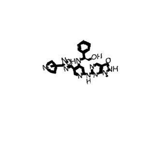 Cn1[nH]c(=O)c2cnc(Nc3cc(N[C@H](CO)c4ccccc4)c(-c4nc(C56CCN(CC5)CC6)no4)cn3)nc21